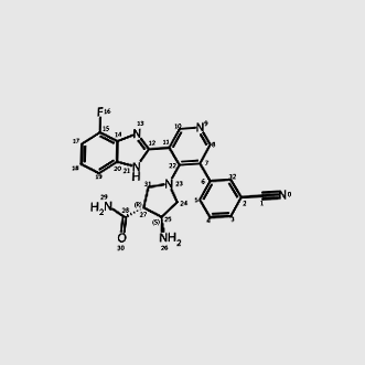 N#Cc1cccc(-c2cncc(-c3nc4c(F)cccc4[nH]3)c2N2C[C@@H](N)[C@H](C(N)=O)C2)c1